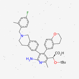 Cc1cc(F)ccc1CN1CCc2cc(-c3c(N)nc(C)c([C@H](OC(C)(C)C)C(=O)O)c3-c3ccc4c(c3)CCCO4)ccc2C1